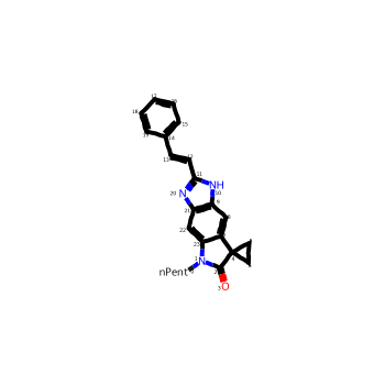 CCCCCN1C(=O)C2(CC2)c2cc3[nH]c(/C=C/c4ccccc4)nc3cc21